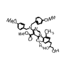 COC(=O)c1c(N(Cc2ccc(OC)cc2)Cc2ccc(OC)cc2)ncn(-c2c(C)cc(CC(O)CO)cc2C)c1=O